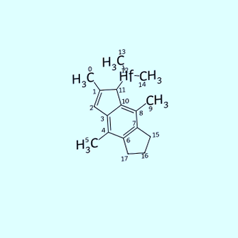 CC1=Cc2c(C)c3c(c(C)c2[CH]1[Hf]([CH3])[CH3])CCC3